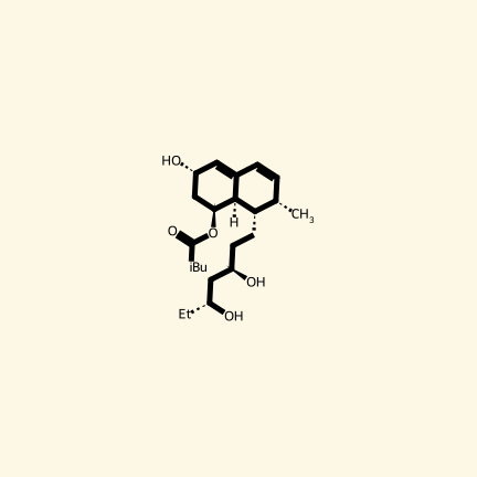 CCC(C)C(=O)O[C@H]1C[C@H](O)C=C2C=C[C@H](C)[C@H](CC[C@@H](O)C[C@H](O)CC)[C@H]21